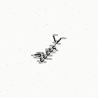 CCCCCCCCCCCCC/C=C/[C@@H](O)[C@H](CO[C@@H]1OC(CO)[C@@H](O[C@@H]2OC(CO)[C@H](O)[C@H](O[C@H]3OC(CO)[C@H](O)[C@H](O[C@@H]4OC(CO)[C@H](O)[C@H](O[C@@H]5OC(CO[C@]6(C(=O)O)CC(O)[C@@H](NC(C)=O)C([C@H](O)[C@H](O)CO)O6)[C@H](O)[C@H](O)C5O)C4NC(C)=O)C3O)C2O)[C@H](O)C1O)NC(=O)CCCCCCCCCCCCCCC